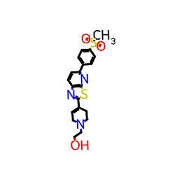 CS(=O)(=O)c1ccc(-c2ccc3nc(C4=CCN(CCO)CC4)sc3n2)cc1